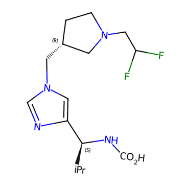 CC(C)[C@H](NC(=O)O)c1cn(C[C@@H]2CCN(CC(F)F)C2)cn1